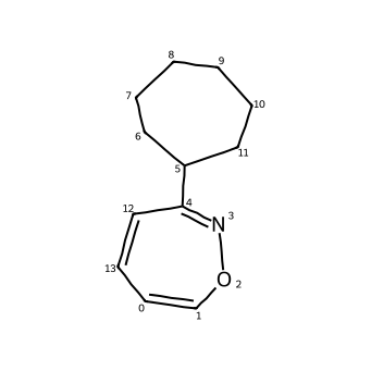 C1=CON=C(C2CCCCCC2)C=C1